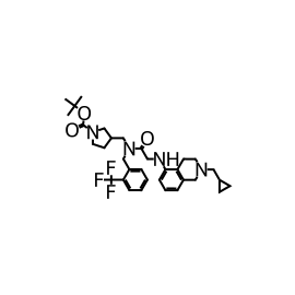 CC(C)(C)OC(=O)N1CCC(CN(Cc2ccccc2C(F)(F)F)C(=O)CNc2cccc3c2CCN(CC2CC2)C3)C1